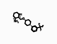 N[C@H]1CCCN[C@H]1CO[C@H]1CC[C@@H](c2cccc(C(F)(F)F)c2)CC1